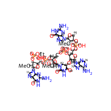 CCOP(=O)(O)OC1C(OC)[C@H](n2cnc3c(=O)[nH]c(N)nc32)O[C@@H]1COP(=O)(O)OC1C(OC)[C@H]2O[C@@H]1COP(=O)(O)OC1[C@@H](COP(=O)(O)OC3C(OC)[C@H](n4cnc5c(=O)[nH]c(N)nc54)O[C@@H]3C)O[C@@H](n3cnc4c(N)ncnc43)[C@H]1Oc1cn2c(=O)[nH]c1=O